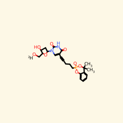 [2H]OCC1OC(n2cc(C#CCCCP3(=O)Oc4ccccc4C(C)(C)O3)c(=O)[nH]c2=O)CC1O